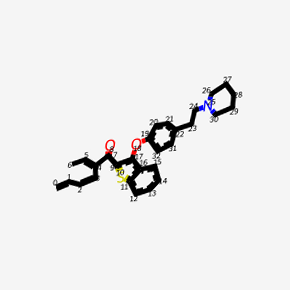 C=C/C=C\C(=C/C)C(=O)c1sc2ccccc2c1Oc1ccc(CCN2CCCCC2)cc1